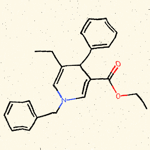 CCOC(=O)C1=CN(Cc2ccccc2)C=C(CC)C1c1ccccc1